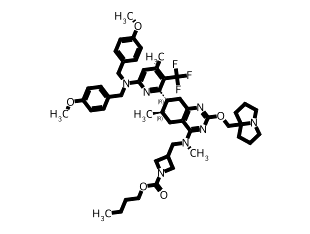 CCCCOC(=O)N1CC(CN(C)c2nc(OCC34CCCN3CCC4)nc3c2C[C@@H](C)[C@H](c2nc(N(Cc4ccc(OC)cc4)Cc4ccc(OC)cc4)cc(C)c2C(F)(F)F)C3)C1